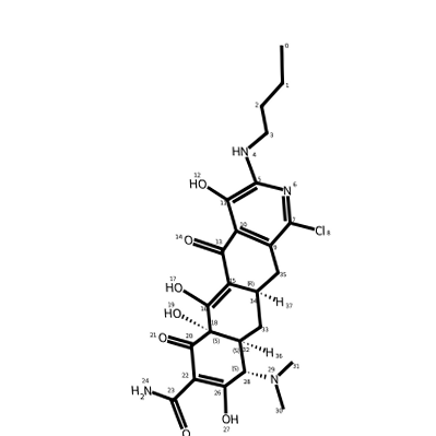 CCCCNc1nc(Cl)c2c(c1O)C(=O)C1=C(O)[C@]3(O)C(=O)C(C(N)=O)=C(O)[C@@H](N(C)C)[C@@H]3C[C@@H]1C2